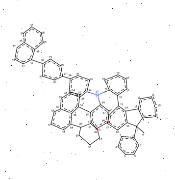 CC1(c2ccccc2)c2ccccc2-c2c(-c3ccccc3N(c3ccc(-c4ccc(-c5cccc6ccccc56)cc4)cc3)c3ccccc3-c3cccc4cccc(C5CCCCC5)c34)cccc21